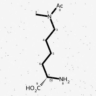 CC(=O)N(C)CCCC[C@H](N)C(=O)O